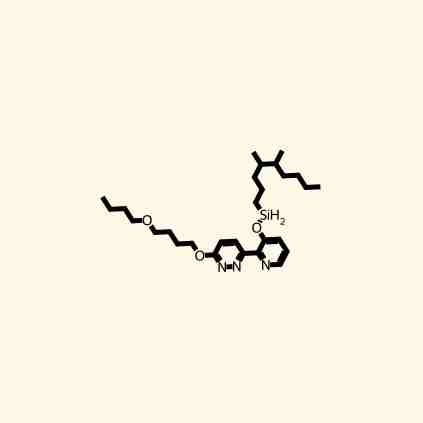 CCCCOCCCCOc1ccc(-c2ncccc2O[SiH2]CCCC(C)C(C)CCCC)nn1